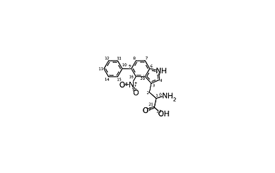 NC(Cc1c[nH]c2ccc(-c3ccccc3)c([N+](=O)[O-])c12)C(=O)O